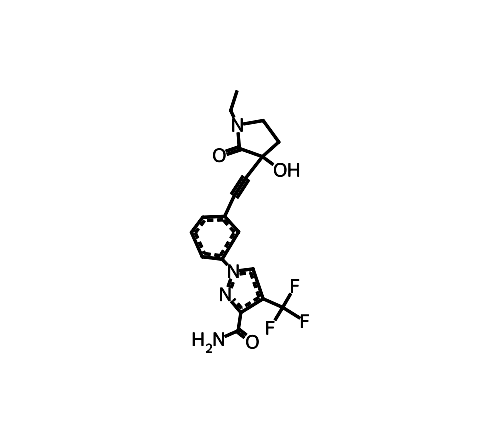 CCN1CCC(O)(C#Cc2cccc(-n3cc(C(F)(F)F)c(C(N)=O)n3)c2)C1=O